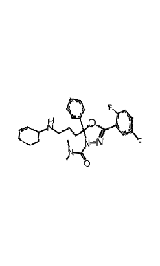 CN(C)C(=O)N1N=C(c2cc(F)ccc2F)OC1(CCCNC1C=CCCC1)c1ccccc1